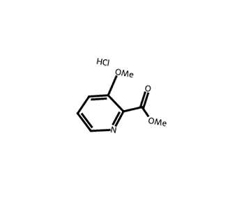 COC(=O)c1ncccc1OC.Cl